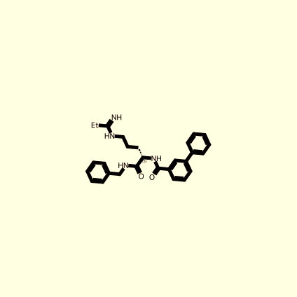 CCC(=N)NCCC[C@H](NC(=O)c1cccc(-c2ccccc2)c1)C(=O)NCc1ccccc1